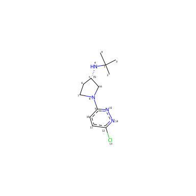 CC(C)(C)N[C@H]1CCN(c2ccc(Cl)nn2)C1